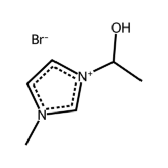 CC(O)[n+]1ccn(C)c1.[Br-]